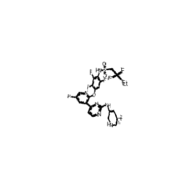 CCC(F)(F)CS(=O)(=O)Nc1c(F)cc(Oc2ncc(F)cc2-c2ccnc(NC3CNC[C@@H](F)C3)n2)c(F)c1F